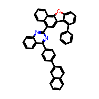 c1ccc(-c2cccc3oc4c5ccccc5c(-c5nc(-c6ccc(-c7ccc8ccccc8c7)cc6)c6ccccc6n5)cc4c23)cc1